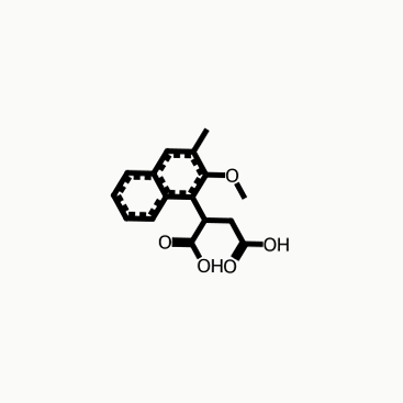 COc1c(C)cc2ccccc2c1C(CC(=O)O)C(=O)O